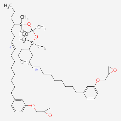 CCCC(CC/C=C/CCCCCCCc1cccc(OCC2CO2)c1)[Si](C)(C)O[Si](C)(C)O[Si](C)(C)C(CCC)CC/C=C/CCCCCCCc1cccc(OCC2CO2)c1